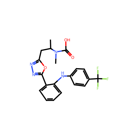 CC(Cc1nnc(-c2ccccc2Nc2ccc(C(F)(F)F)cc2)o1)N(C)C(=O)O